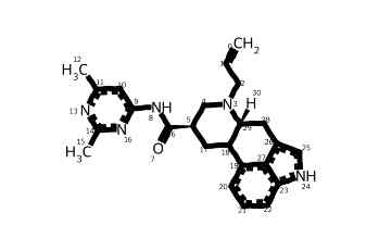 C=CCN1C[C@H](C(=O)Nc2cc(C)nc(C)n2)CC2c3cccc4[nH]cc(c34)C[C@H]21